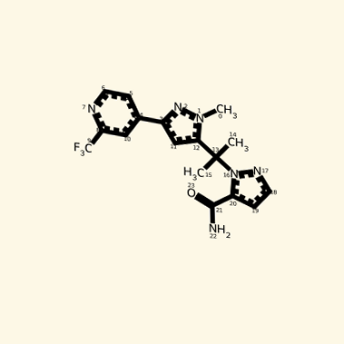 Cn1nc(-c2ccnc(C(F)(F)F)c2)cc1C(C)(C)n1nccc1C(N)=O